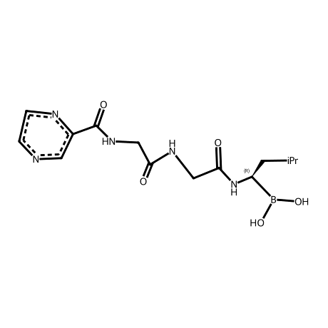 CC(C)C[C@H](NC(=O)CNC(=O)CNC(=O)c1cnccn1)B(O)O